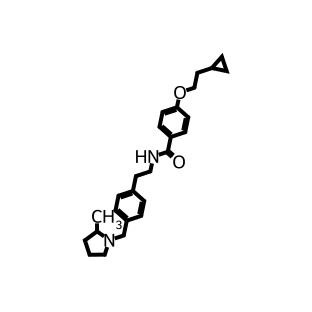 CC1CCCN1Cc1ccc(CCNC(=O)c2ccc(OCCC3CC3)cc2)cc1